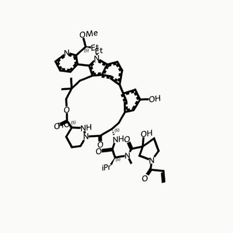 C=CC(=O)N1CCC(O)(C(=O)N(C)[C@H](C(=O)N[C@H]2Cc3cc(O)cc(c3)-c3ccc4c(c3)c(c(-c3cccnc3[C@H](CC)OC)n4CC)CC(C)(C)COC(=O)[C@@]3(O)CCCN(N3)C2=O)C(C)C)C1